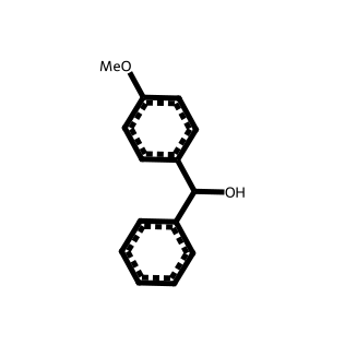 COc1ccc([C](O)c2ccccc2)cc1